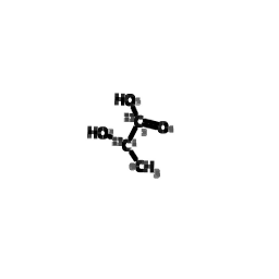 C[13CH](O)[13C](=O)O